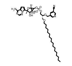 CCCCCCCCCCCCCCCCCCOC[C@H](COP(=O)(O)OC1[C@H]2O[C@@](C)(c3ccc4c(N)ncnn34)[C@H](O)[C@@]12O)OCc1cncc(C#N)c1